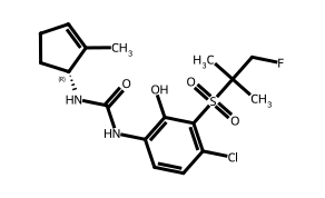 CC1=CCC[C@H]1NC(=O)Nc1ccc(Cl)c(S(=O)(=O)C(C)(C)CF)c1O